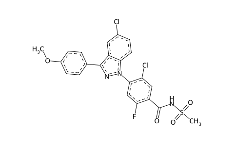 COc1ccc(-c2nn(-c3cc(F)c(C(=O)NS(C)(=O)=O)cc3Cl)c3ccc(Cl)cc23)cc1